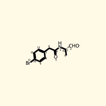 C[C@@H]([C]=O)NC(=O)Cc1ccc(Br)cc1